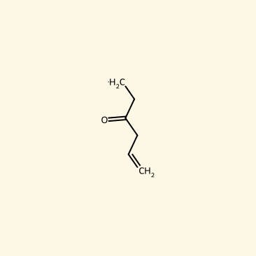 [CH2]CC(=O)CC=C